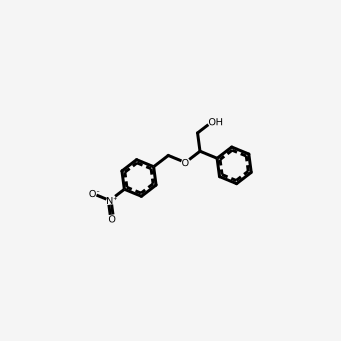 O=[N+]([O-])c1ccc(COC(CO)c2ccccc2)cc1